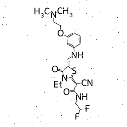 CCn1c(=C(C#N)C(=O)NCC(F)F)sc(=CNc2cccc(OCCN(C)C)c2)c1=O